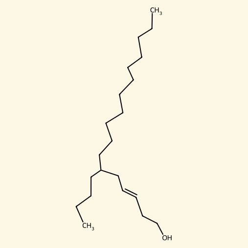 CCCCCCCCCCCC(CC=CCCO)CCCC